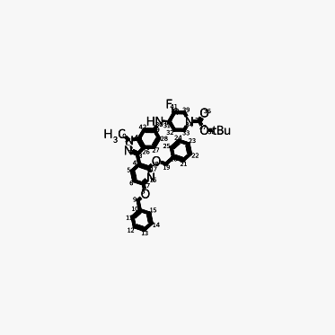 Cn1nc(-c2ccc(OCc3ccccc3)nc2OCc2ccccc2)c2ccc(N[C@@H]3CCN(C(=O)OC(C)(C)C)C[C@H]3F)cc21